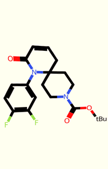 CC(C)(C)OC(=O)N1CCC2(CC=CC(=O)N2c2ccc(F)c(F)c2)CC1